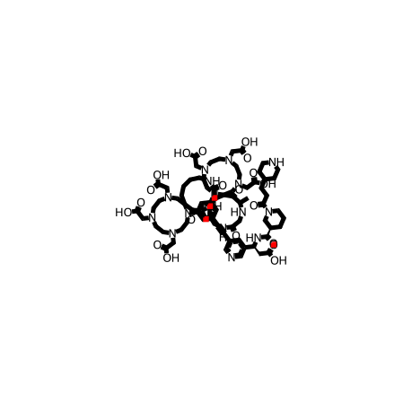 CC1NCC(=O)NCCCCC2(CN(CC(=O)O)CCN(CC(=O)O)CCN(CC(=O)O)CCN2c2cc(C#Cc3cncc([C@H](CC(=O)O)NC(=O)[C@@H]4CCCN(C(=O)CCC5CCNCC5)C4)c3)cc(N3CCN(CC(=O)O)CCN(CC(=O)O)CCN(CC(=O)O)CC34CCCCNC(=O)CNC(C)C4=O)c2)C1=O